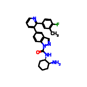 Cc1cc(-c2ncccc2-c2ccc3c(cnn3C(=O)N[C@H]3CCCC[C@@H]3N)c2)ccc1F